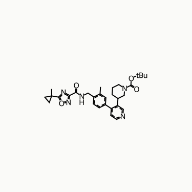 Cc1cc(-c2ccncc2C2CCCN(C(=O)OC(C)(C)C)C2)ccc1CNC(=O)c1noc(C2(C)CC2)n1